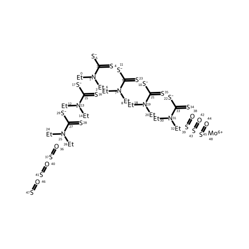 CCN(CC)C(=S)[S-].CCN(CC)C(=S)[S-].CCN(CC)C(=S)[S-].CCN(CC)C(=S)[S-].CCN(CC)C(=S)[S-].CCN(CC)C(=S)[S-].O=S.O=S.O=S.O=S.O=S.O=S.[Mo+6]